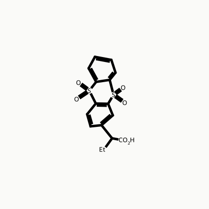 CCC(C(=O)O)c1ccc2c(c1)S(=O)(=O)c1ccccc1S2(=O)=O